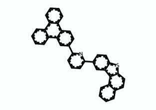 c1cc(-c2ccc3c4ccccc4c4ccccc4c3c2)nc(-c2ccc3sc4ccc5ccccc5c4c3c2)c1